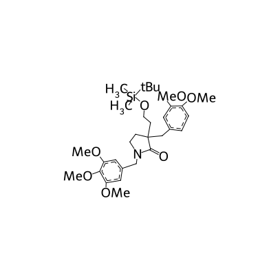 COc1ccc(CC2(CCO[Si](C)(C)C(C)(C)C)CCN(Cc3cc(OC)c(OC)c(OC)c3)C2=O)cc1OC